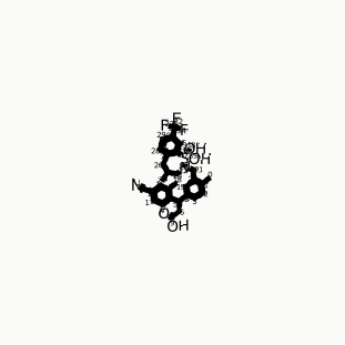 Cc1ccc(C(CC(=O)O)c2ccc(C#N)cc2C)cc1CN1CC(C)Cc2ccc(C(F)(F)F)cc2S1(O)O